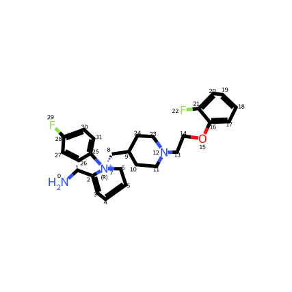 NCC1=CC=CC[N@+]1(CC1CCN(CCOc2ccccc2F)CC1)c1ccc(F)cc1